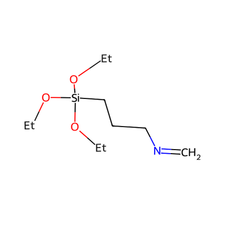 C=NCCC[Si](OCC)(OCC)OCC